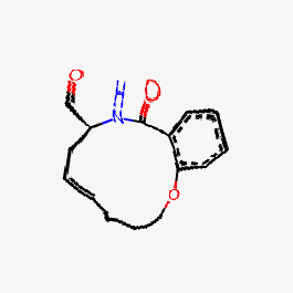 O=C[C@@H]1C/C=C/CCCOc2ccccc2C(=O)N1